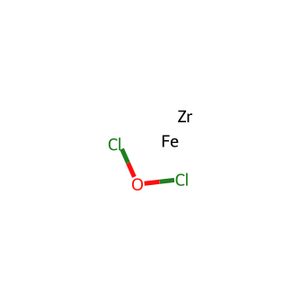 ClOCl.[Fe].[Zr]